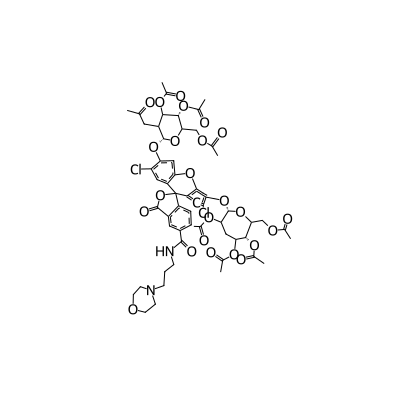 CC(=O)CC1C(OC(C)=O)[C@H](OC(C)=O)C(COC(C)=O)O[C@@H]1Oc1cc2c(cc1Cl)C1(OC(=O)c3cc(C(=O)NCCCN4CCOCC4)ccc31)c1cc(Cl)c(O[C@@H]3OC(COC(C)=O)[C@H](OC(C)=O)C(OC(C)=O)CC3OC(C)=O)cc1O2